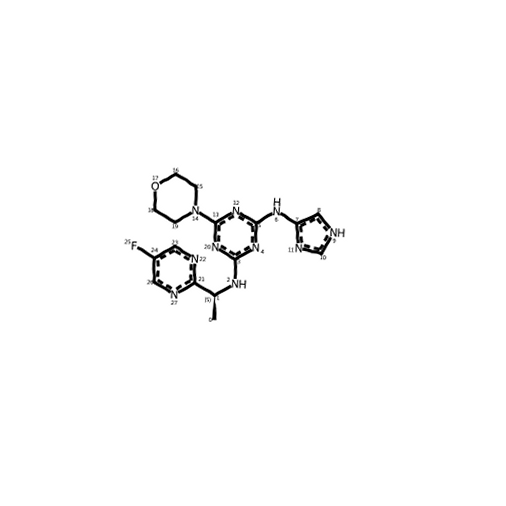 C[C@H](Nc1nc(Nc2c[nH]cn2)nc(N2CCOCC2)n1)c1ncc(F)cn1